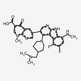 CNc1cc(F)c(F)c2c1[nH]c1ncc(-c3cnc4c(c3)c(=O)c(C(=O)O)cn4C)c(N3CCC(CN(C)C)CC3)c12